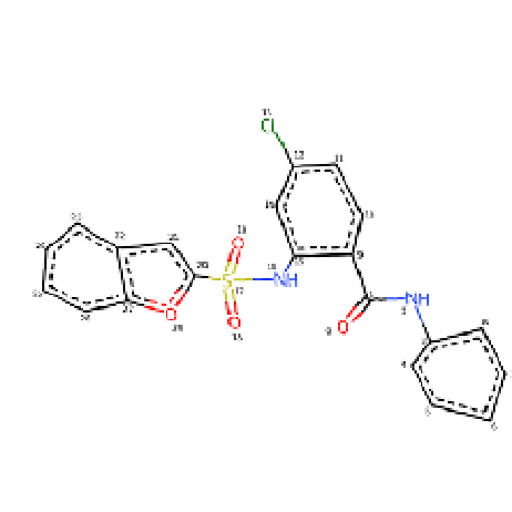 O=C(Nc1ccccc1)c1ccc(Cl)cc1NS(=O)(=O)c1cc2ccccc2o1